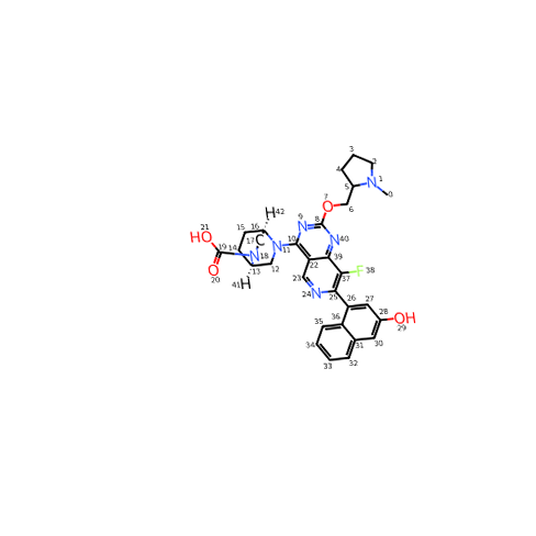 CN1CCCC1COc1nc(N2C[C@H]3CC[C@@H]2CN3C(=O)O)c2cnc(-c3cc(O)cc4ccccc34)c(F)c2n1